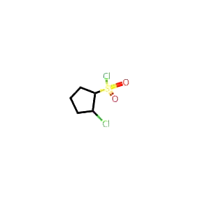 O=S(=O)(Cl)C1CCCC1Cl